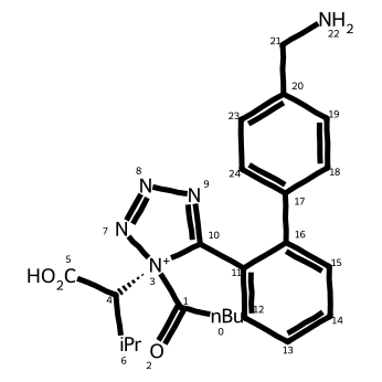 CCCCC(=O)[N@@+]1(C(C(=O)O)C(C)C)N=NN=C1c1ccccc1-c1ccc(CN)cc1